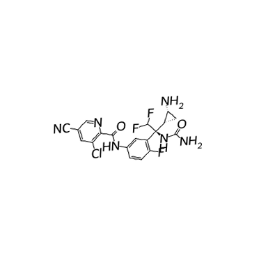 N#Cc1cnc(C(=O)Nc2ccc(F)c([C@](NC(N)=O)(C(F)F)[C@H]3C[C@H]3N)c2)c(Cl)c1